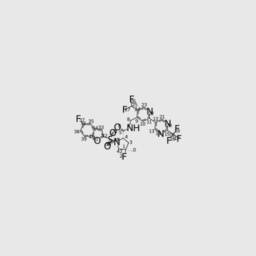 C[C@@]1(F)C[C@@H](C(=O)NCc2cc(-c3cnc(C(F)(F)F)nc3)ncc2C(F)F)N(S(=O)(=O)c2cc3cc(F)ccc3o2)C1